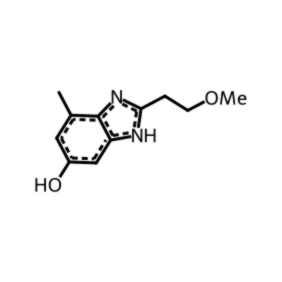 COCCc1nc2c(C)cc(O)cc2[nH]1